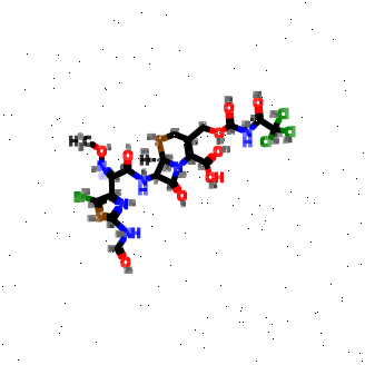 CO/N=C(\C(=O)NC1C(=O)N2C(C(=O)O)=C(COC(=O)NC(=O)C(Cl)(Cl)Cl)CS[C@H]12)c1nc(NC=O)sc1Br